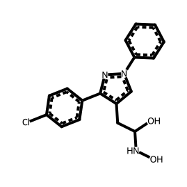 ONC(O)Cc1cn(-c2ccccc2)nc1-c1ccc(Cl)cc1